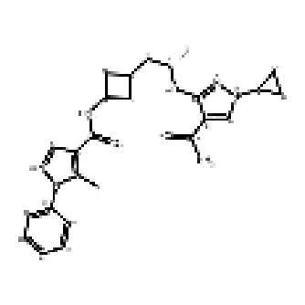 Cc1c(C(=O)NC2CC(C[C@H](C)Oc3nn(C4CC4)cc3C(N)=O)C2)cnn1-c1ccccc1